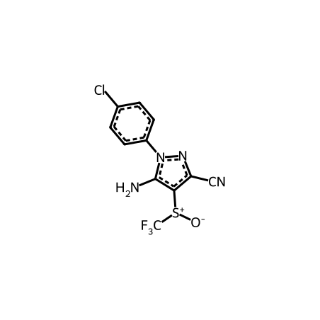 N#Cc1nn(-c2ccc(Cl)cc2)c(N)c1[S+]([O-])C(F)(F)F